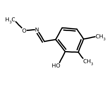 CON=Cc1ccc(C)c(C)c1O